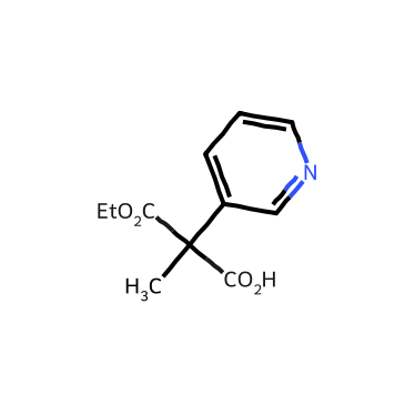 CCOC(=O)C(C)(C(=O)O)c1cccnc1